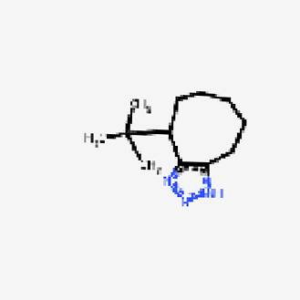 CC(C)(C)C1CCCCCc2[nH]nnc21